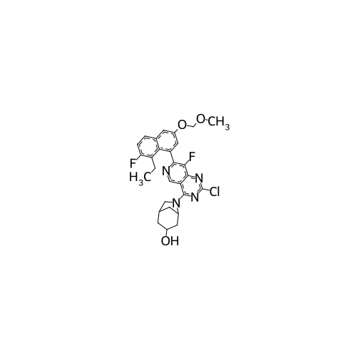 CCc1c(F)ccc2cc(OCOC)cc(-c3ncc4c(N5CC6CC(O)CC5C6)nc(Cl)nc4c3F)c12